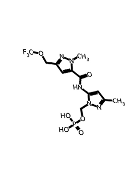 Cc1cc(NC(=O)c2cc(COC(F)(F)F)nn2C)n(COP(=O)(O)O)n1